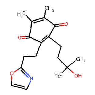 CC1=C(C)C(=O)C(CCC(C)(C)O)=C(CCc2ncco2)C1=O